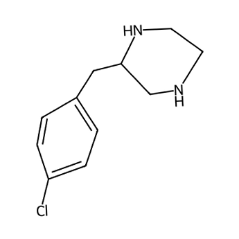 Clc1ccc(CC2CNCCN2)cc1